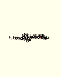 COc1ccc(N=Nc2ccc3c(O)c(N=Nc4cc(OC)c(N=Nc5ccc(N=Nc6ccc(N=Nc7ccc(S(=O)(=O)O)cc7S(=O)(=O)O)c(C)c6)c(C)c5)cc4OC)c(S(=O)(=O)O)cc3c2)cc1